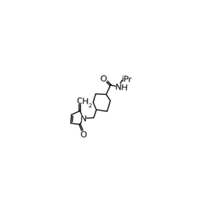 C=C1C=CC(=O)N1CC1CCC(C(=O)NC(C)C)CC1